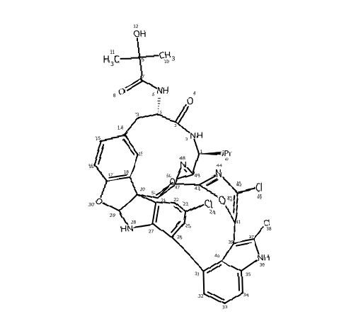 CC(C)[C@@H]1NC(=O)[C@@H](NC(=O)C(C)(C)O)Cc2ccc3c(c2)C24c5cc(Cl)cc(c5NC2O3)-c2cccc3[nH]c(Cl)c(c23)-c2oc(nc2Cl)-c2nc1oc24